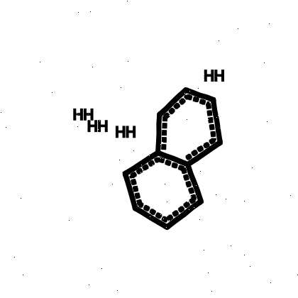 [HH].[HH].[HH].[HH].c1ccc2ccccc2c1